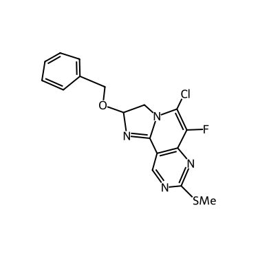 CSc1ncc2c(n1)C(F)=C(Cl)N1CC(OCc3ccccc3)N=C21